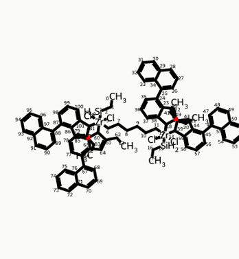 CC[SiH2][Zr]([Cl])([Cl])([CH2]CCCC[CH2][Zr]([Cl])([Cl])([SiH2]CC)([CH]1C(CC)=Cc2c(-c3cccc4ccccc34)cccc21)[CH]1C(CC)=Cc2c(-c3cccc4ccccc34)cccc21)([CH]1C(CC)=Cc2c(-c3cccc4ccccc34)cccc21)[CH]1C(CC)=Cc2c(-c3cccc4ccccc34)cccc21